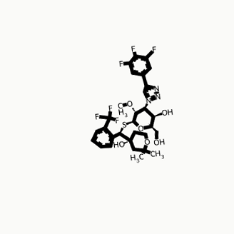 CO[C@@H]1[C@@H](n2cc(-c3cc(F)c(F)c(F)c3)nn2)[C@@H](O)[C@@H](CO)O[C@H]1S[C@H](c1ccccc1C(F)(F)F)[C@@]1(O)CCOC(C)(C)C1